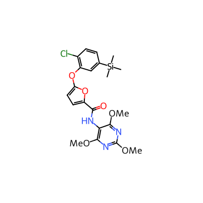 COc1nc(OC)c(NC(=O)c2ccc(Oc3cc([Si](C)(C)C)ccc3Cl)o2)c(OC)n1